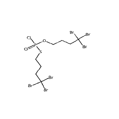 O=P(Cl)(OCCCC(Br)(Br)Br)SCCCC(Br)(Br)Br